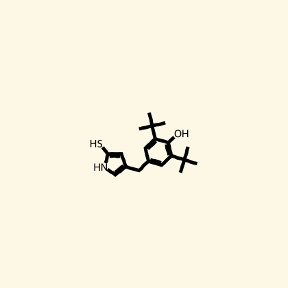 CC(C)(C)c1cc(Cc2c[nH]c(S)c2)cc(C(C)(C)C)c1O